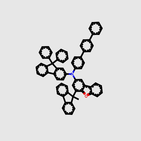 CC1(c2cc(N(c3ccc(-c4ccc(-c5ccccc5)cc4)cc3)c3ccc4c(c3)C(c3ccccc3)(c3ccccc3)c3ccccc3-4)cc3c2oc2ccccc23)c2ccccc2-c2ccccc21